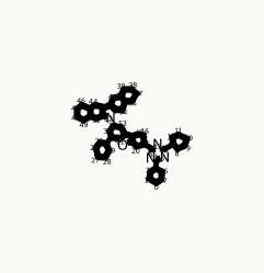 c1ccc(-c2nc(-c3ccccc3)nc(-c3ccc4c(c3)oc3c(-c5ccccc5)cc(-n5c6cc7ccccc7cc6c6cc7ccccc7cc65)cc34)n2)cc1